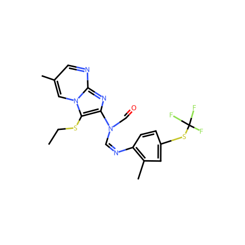 CCSc1c(N(C=O)/C=N\c2ccc(SC(F)(F)F)cc2C)nc2ncc(C)cn12